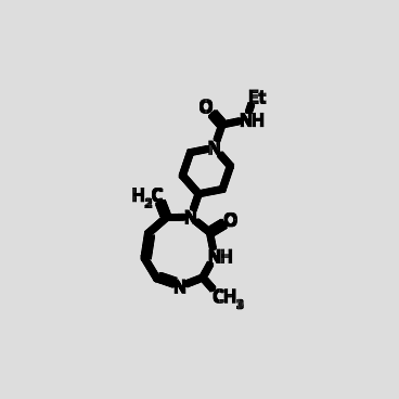 C=C1/C=C\C=N/C(C)NC(=O)N1C1CCN(C(=O)NCC)CC1